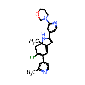 Cc1cc(C2=C(Cl)CC3(C)NC(c4ccnc(N5CCCOC5)c4)=CC3=C2)ccn1